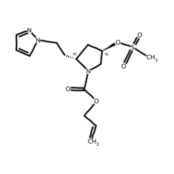 C=CCOC(=O)N1C[C@H](OS(C)(=O)=O)C[C@H]1CCn1cccn1